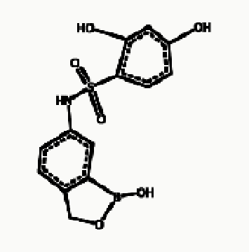 O=S(=O)(Nc1ccc2c(c1)B(O)OC2)c1ccc(O)cc1O